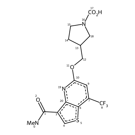 CNC(=O)c1csc2c(C(F)(F)F)cc(OCC3CCN(C(=O)O)C3)nc12